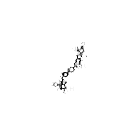 CC(=O)c1c(C)c2cnc(Nc3ccc(N4CCC(N(C)Cc5cc6c(cc5F)C(=O)N(C5CCC(=O)NC5=O)C6)CC4)cn3)nc2n(C2CCCC2)c1=O